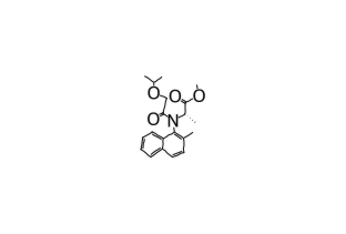 COC(=O)[C@H](C)N(C(=O)COC(C)C)c1c(C)ccc2ccccc12